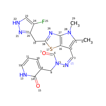 Cc1c(/C=N\N(C=O)Cc2ccc[nH]c2=O)c2sc(Cc3n[nH]cc3F)nc2n1C